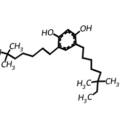 CCC(C)(C)CCCCCc1cc(CCCCCC(C)(C)I)c(O)cc1O